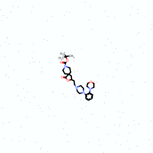 CC(C)(C)OC(=O)N1CCC2(CC1)CC(CCN1CCN(c3ccccc3N3CCOCC3)CC1)OC2=O